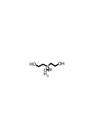 CBr.OCCNCCO